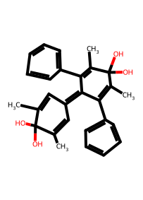 CC1=CC(=C2C(c3ccccc3)=C(C)C(O)(O)C(C)=C2c2ccccc2)C=C(C)C1(O)O